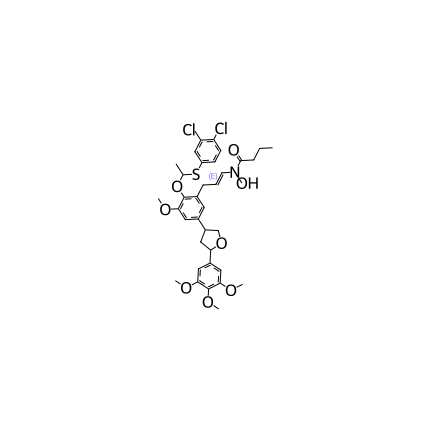 CCCC(=O)N(O)/C=C/Cc1cc(C2COC(c3cc(OC)c(OC)c(OC)c3)C2)cc(OC)c1OC(C)Sc1ccc(Cl)c(Cl)c1